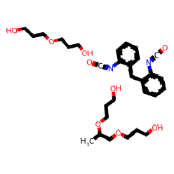 CC(COCCCO)OCCCO.O=C=Nc1ccccc1Cc1ccccc1N=C=O.OCCCOCCCO